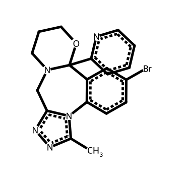 Cc1nnc2n1-c1ccc(Br)cc1C1(c3ccccn3)OCCCN1C2